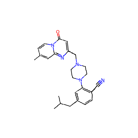 Cc1ccn2c(=O)cc(CN3CCN(c4cc(CC(C)C)ccc4C#N)CC3)nc2c1